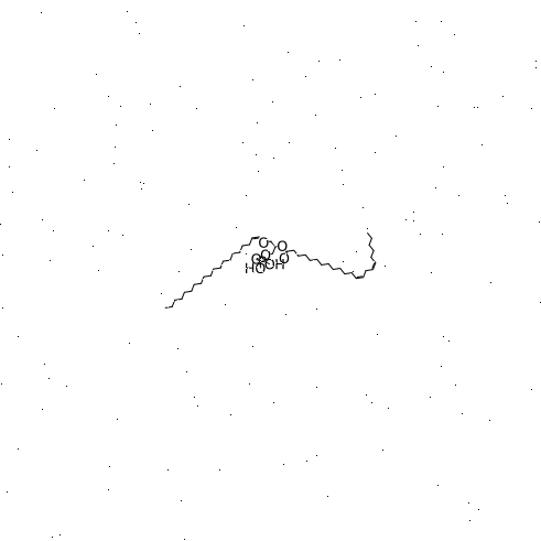 CCCCC/C=C\C/C=C\CCCCCCCCCCCC(=O)O[C@H](CO/C=C\CCCCCCCCCCCCCCCCCC)COP(=O)(O)O